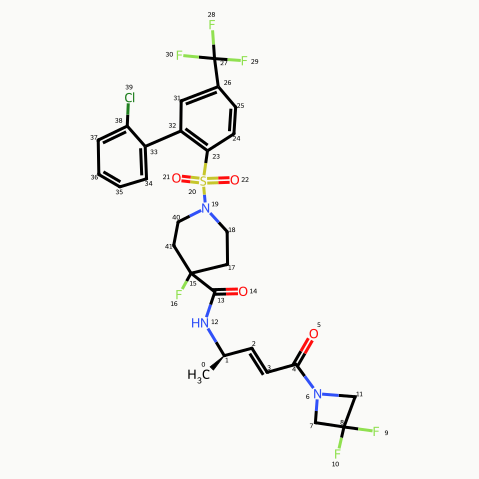 C[C@H](/C=C/C(=O)N1CC(F)(F)C1)NC(=O)C1(F)CCN(S(=O)(=O)c2ccc(C(F)(F)F)cc2-c2ccccc2Cl)CC1